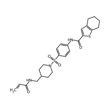 C=CC(=O)NCC1CCN(S(=O)(=O)c2ccc(NC(=O)c3cc4c(s3)CCCC4)cc2)CC1